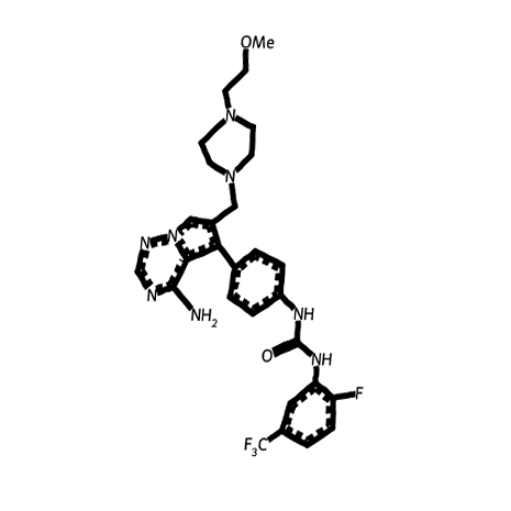 COCCN1CCN(Cc2cn3ncnc(N)c3c2-c2ccc(NC(=O)Nc3cc(C(F)(F)F)ccc3F)cc2)CC1